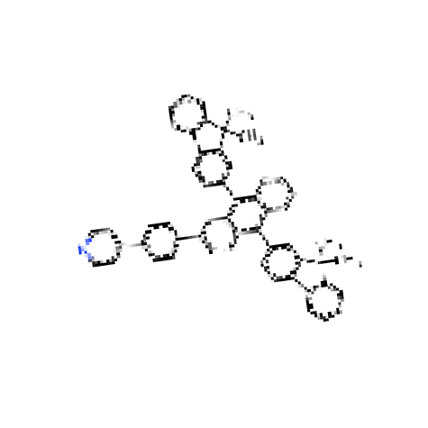 CC1(C)c2ccccc2-c2ccc(-c3c4ccccc4c(-c4ccc5c(c4)C(C)(C)c4ccccc4-5)c4cc(-c5ccc(-c6ccncc6)cc5)ccc34)cc21